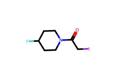 O=C(CI)N1CCC(F)CC1